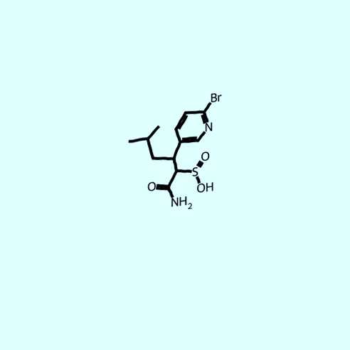 CC(C)CC(c1ccc(Br)nc1)C(C(N)=O)S(=O)O